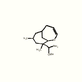 COC(N)C1(C)CC(C)CC2CC=COC1C2